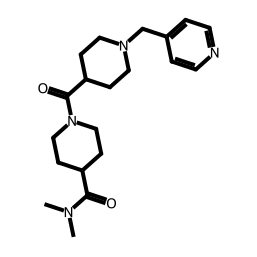 CN(C)C(=O)C1CCN(C(=O)C2CCN(Cc3ccncc3)CC2)CC1